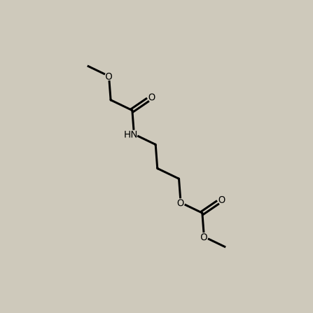 COCC(=O)NCCCOC(=O)OC